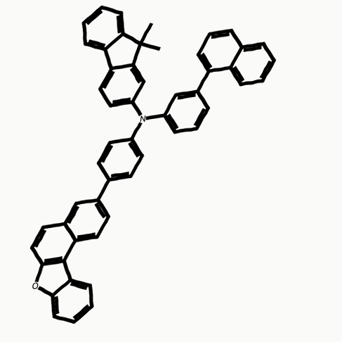 CC1(C)c2ccccc2-c2ccc(N(c3ccc(-c4ccc5c(ccc6oc7ccccc7c65)c4)cc3)c3cccc(-c4cccc5ccccc45)c3)cc21